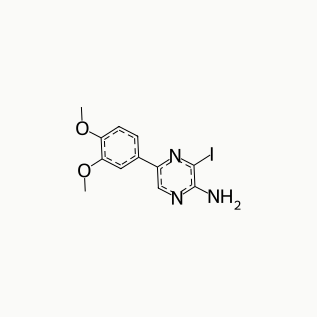 COc1ccc(-c2cnc(N)c(I)n2)cc1OC